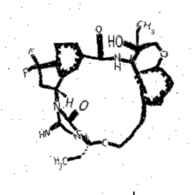 CC[C@]12CCCCc3ccc4c(c3)[C@@H](NC(=O)c3ccc5c(c3)[C@@H](CC5(F)F)N(C(=N)N1)C(=O)C2)[C@](C)(O)CO4